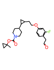 CC1(OC(=O)N2CCC(C3CC3CCOc3ccc(CC=O)c(F)c3)CC2)CC1